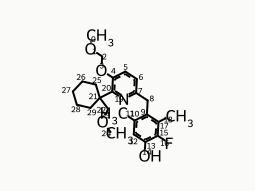 COCOc1ccc(Cc2c(C)cc(O)c(F)c2C)nc1C1(COC)CCCCC1